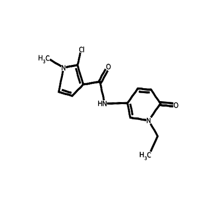 CCn1cc(NC(=O)c2ccn(C)c2Cl)ccc1=O